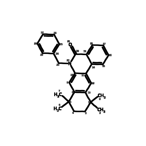 CC1(C)CCC(C)(C)c2cc3c(cc21)c1ccccc1c(=O)n3Cc1ccccc1